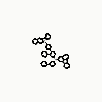 c1ccc(-c2cccc(N(c3ccc(-c4ccc(-n5c6ccccc6c6cc7ccccc7cc65)cc4)c(-c4ccccc4)c3)c3cc4c5c(cccc5c3)-c3ccccc3-4)c2)cc1